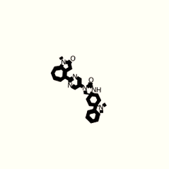 CN1C(=O)CC2=C(c3ncc(N4C[C@]5(CC[C@](c6ccccc6)(N(C)C)CC5)NC4=O)cn3)C=CCC=C21